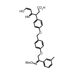 CO/N=C(\COc1ccc(COc2ccc(C(CC(=O)O)C(=N)/C=C\O)cc2)cc1)c1cccc(C)c1